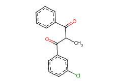 CC(C(=O)c1ccccc1)C(=O)c1cccc(Cl)c1